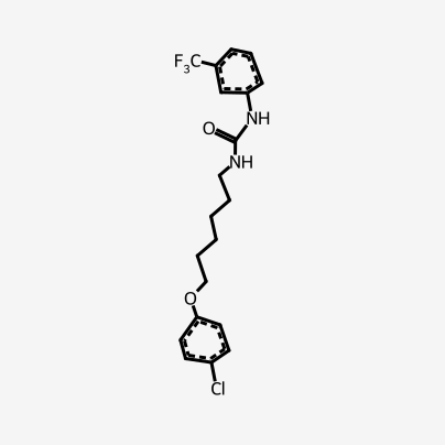 O=C(NCCCCCCOc1ccc(Cl)cc1)Nc1cccc(C(F)(F)F)c1